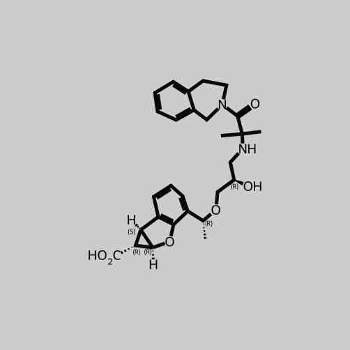 C[C@@H](OC[C@H](O)CNC(C)(C)C(=O)N1CCc2ccccc2C1)c1cccc2c1O[C@H]1[C@H](C(=O)O)[C@@H]21